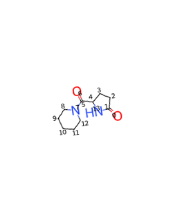 O=C1CCC(C(=O)N2CCCCC2)N1